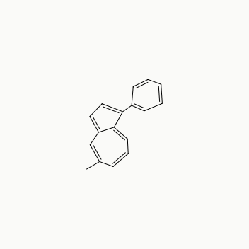 Cc1cccc2c(-c3ccccc3)ccc-2c1